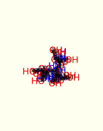 O=C(CO)Nc1c(I)c(C(=O)NCCN(CCNC(=O)c2c(I)c(NC(=O)CO)c(I)c(C(=O)NCC(O)CO)c2I)C(=O)c2c(I)c(NC(=O)CO)c(I)c(C(=O)NCC(O)CO)c2I)c(I)c(C(=O)NCC(O)CO)c1I